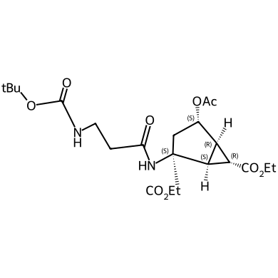 CCOC(=O)[C@H]1[C@H]2[C@@H]1[C@](NC(=O)CCNC(=O)OC(C)(C)C)(C(=O)OCC)C[C@@H]2OC(C)=O